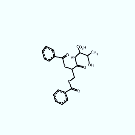 CC(O)C(NC(=O)C(CSC(=O)c1ccccc1)SC(=O)c1ccccc1)C(=O)O